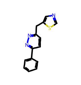 c1ccc(-c2ccc(Cc3cncs3)nn2)cc1